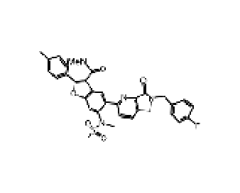 CNC(=O)c1c(-c2ccc(C)cc2)oc2cc(N(C)S(C)(=O)=O)c(-c3ccc4c(n3)C(=O)N(Cc3ccc(F)cc3)C4)cc12